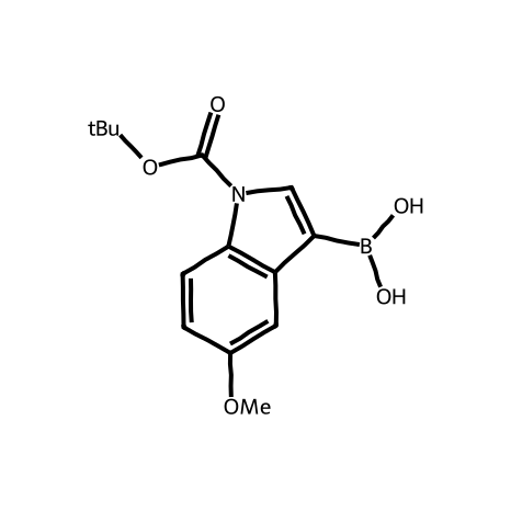 COc1ccc2c(c1)c(B(O)O)cn2C(=O)OC(C)(C)C